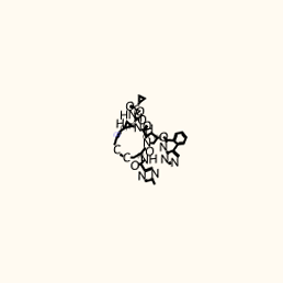 Cc1cnc(C(=O)N[C@H]2CCCCC/C=C\[C@@H]3C[C@@]3(C(=O)NS(=O)(=O)C3CC3)NC(=O)[C@@H]3C[C@@H](Oc4nc5ncncc5c5ccccc45)CN3C2=O)cn1